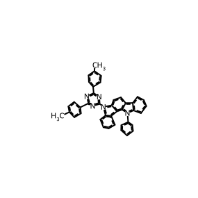 Cc1ccc(-c2nc(-c3ccc(C)cc3)nc(-n3c4ccccc4c4c3ccc3c5ccccc5n(-c5ccccc5)c34)n2)cc1